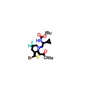 COC(=O)c1sc(Br)c2c1N(CC(NC(=O)OC(C)(C)C)C1CC1)CC(F)(F)C2